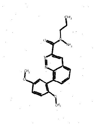 CCCN(N)C(=O)c1cc2cccc(-c3cc(OC)ccc3OC)c2nn1